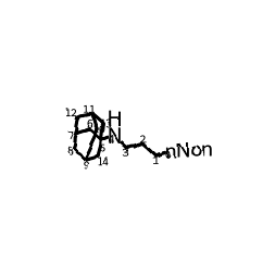 CCCCCCCCCCCCNC12CC3CC(CC(C3)C1)C2